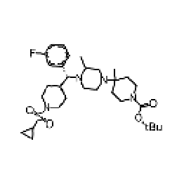 CC1CN(C2(C)CCN(C(=O)OC(C)(C)C)CC2)CCN1[C@@H](c1cccc(F)c1)C1CCN(S(=O)(=O)C2CC2)CC1